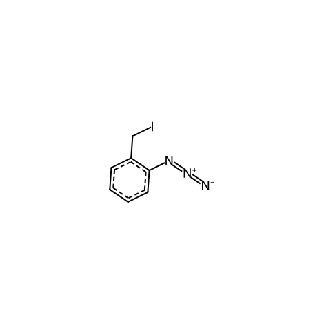 [N-]=[N+]=Nc1ccccc1CI